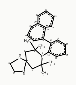 CC1(C)CC2(CC(C)(C)P1c1ccccc1-c1cccc3ccccc13)OCCO2